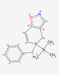 C[Si](C)(C)C1(Cc2ccccc2)C=Cc2oncc2C1